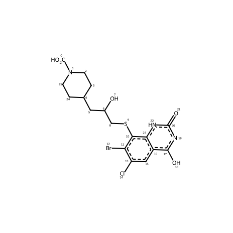 O=C(O)N1CCC(CC(O)CSc2c(Br)c(Cl)cc3c(O)nc(=O)[nH]c23)CC1